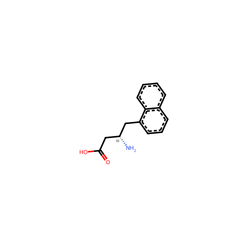 N[C@H](CC(=O)O)Cc1cccc2ccccc12